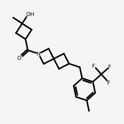 Cc1ccc(CC2CC3(C2)CN(C(=O)C2CC(C)(O)C2)C3)c(C(F)(F)F)c1